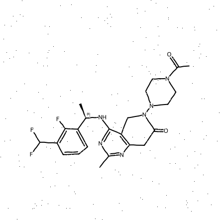 CC(=O)N1CCN(N2Cc3c(nc(C)nc3N[C@H](C)c3cccc(C(F)F)c3F)CC2=O)CC1